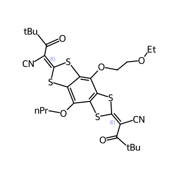 [C-]#[N+]/C(C(=O)C(C)(C)C)=C1\Sc2c(OCCC)c3c(c(OCCOCC)c2S1)S/C(=C(\C#N)C(=O)C(C)(C)C)S3